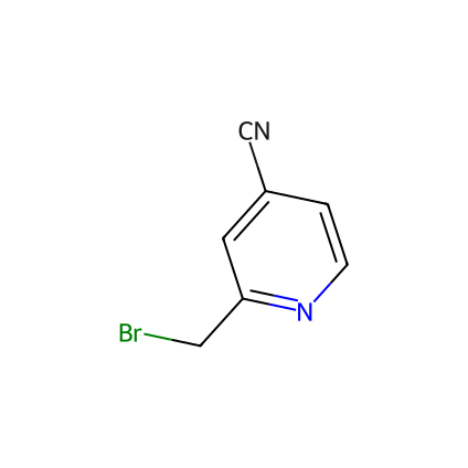 N#Cc1ccnc(CBr)c1